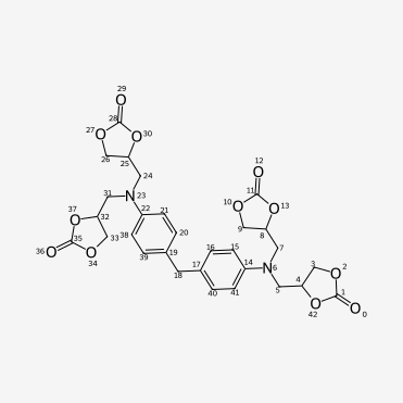 O=C1OCC(CN(CC2COC(=O)O2)c2ccc(Cc3ccc(N(CC4COC(=O)O4)CC4COC(=O)O4)cc3)cc2)O1